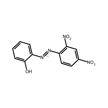 O=[N+]([O-])c1ccc(/N=N/c2ccccc2O)c([N+](=O)[O-])c1